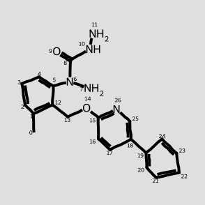 Cc1cccc(N(N)C(=O)NN)c1COc1ccc(-c2ccccc2)cn1